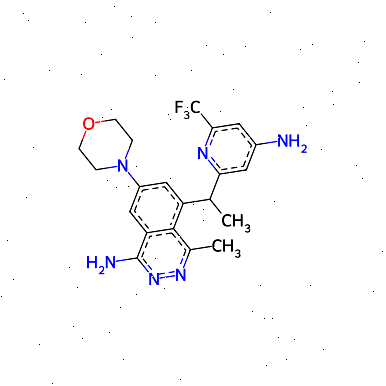 Cc1nnc(N)c2cc(N3CCOCC3)cc(C(C)c3cc(N)cc(C(F)(F)F)n3)c12